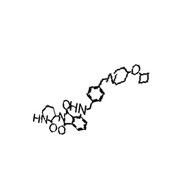 O=C1NCCCC1N1C(=O)c2cccc(NCc3ccc(CN4CCC(OC5CCC5)CC4)cc3)c2C1=O